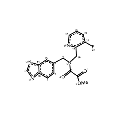 COC(=O)C(=O)N(Cc1ccc2scnc2c1)Cc1ncccc1F